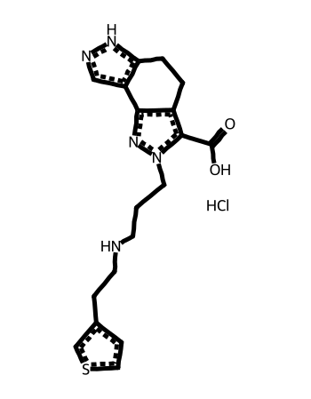 Cl.O=C(O)c1c2c(nn1CCCNCCc1ccsc1)-c1cn[nH]c1CC2